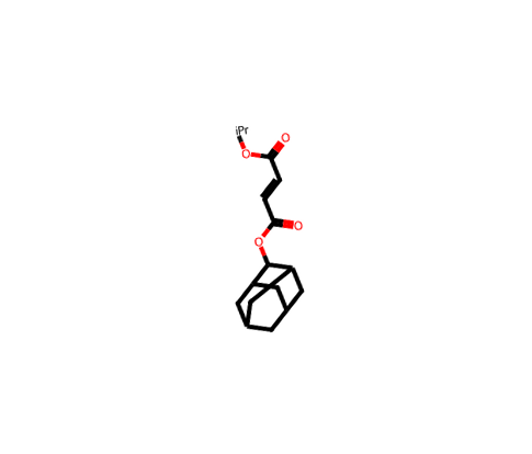 CC(C)OC(=O)C=CC(=O)OC1C2CC3CC(C2)CC1C3